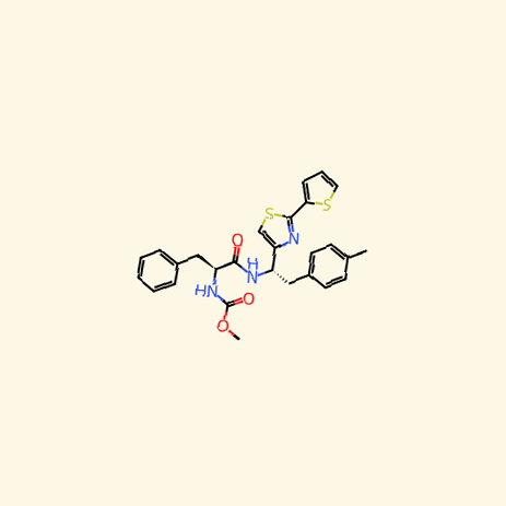 COC(=O)N[C@@H](Cc1ccccc1)C(=O)N[C@@H](Cc1ccc(C)cc1)c1csc(-c2cccs2)n1